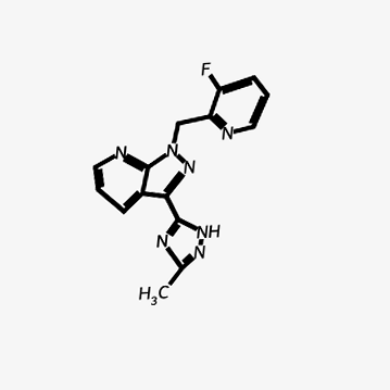 Cc1n[nH]c(-c2nn(Cc3ncccc3F)c3ncccc23)n1